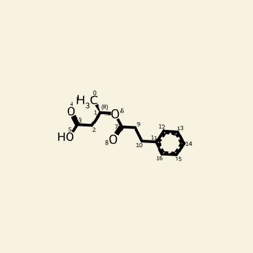 C[C@H](CC(=O)O)OC(=O)CCc1ccccc1